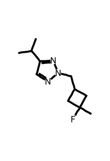 CC(C)c1cnn(CC2CC(C)(F)C2)n1